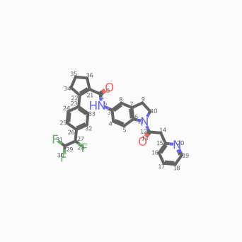 O=C(Nc1ccc2c(c1)CCN2C(=O)Cc1ccccn1)C1=C(c2ccc(C(F)C(F)F)cc2)CCC1